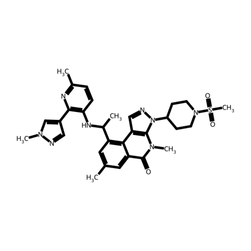 Cc1cc(C(C)Nc2ccc(C)nc2-c2cnn(C)c2)c2c(c1)c(=O)n(C)c1c2cnn1C1CCN(S(C)(=O)=O)CC1